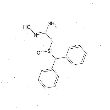 NC(C[S+]([O-])C(c1ccccc1)c1ccccc1)=NO